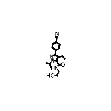 CCc1c(-c2ccc(C#N)cc2)nn(C(C)C)c1C(=O)NC[C@H](C)O